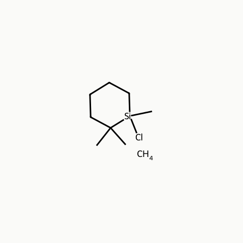 C.CC1(C)CCCC[Si]1(C)Cl